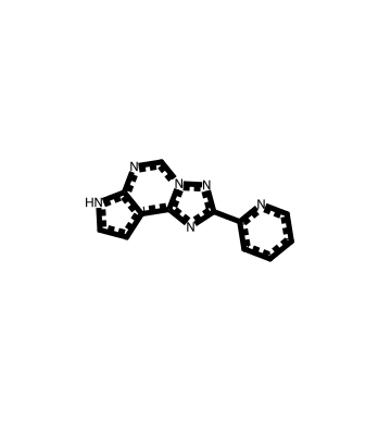 c1ccc(-c2nc3c4cc[nH]c4ncn3n2)nc1